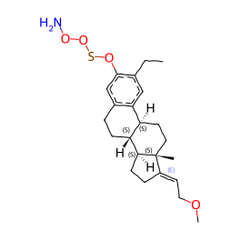 CCc1cc2c(cc1OSOON)CC[C@@H]1[C@@H]2CC[C@]2(C)/C(=C/COC)CC[C@@H]12